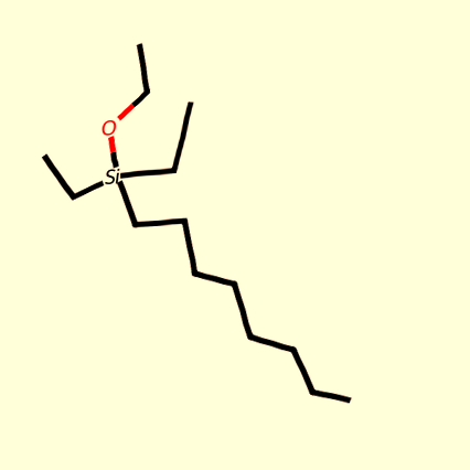 CCCCCCCC[Si](CC)(CC)OCC